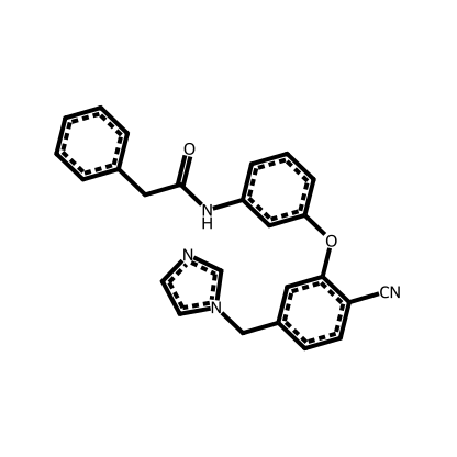 N#Cc1ccc(Cn2ccnc2)cc1Oc1cccc(NC(=O)Cc2ccccc2)c1